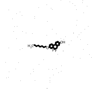 CCCCCCCCOc1ccc2c(c1)C(F)(F)Cc1cc(O)ccc1-2